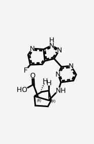 O=C(O)[C@@H]1C2CCC(CC2)[C@H]1Nc1ccnc(-c2n[nH]c3ncc(F)cc23)n1